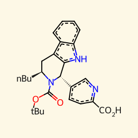 CCCC[C@H]1Cc2c([nH]c3ccccc23)[C@H](c2ccc(C(=O)O)nc2)N1C(=O)OC(C)(C)C